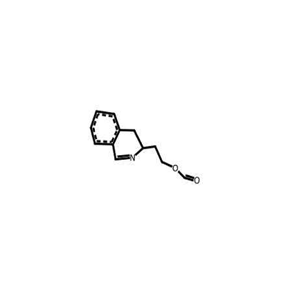 O=COCCC1Cc2ccccc2C=N1